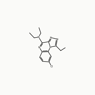 CCc1nnc2c(N(CC)CC)nc3ccc(Cl)cc3n12